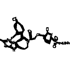 CNS(=O)(=O)c1ccc(OCC(=O)N2CCc3nc4sc(C)nn4c3C2c2ccc(Cl)cc2F)c(Cl)n1